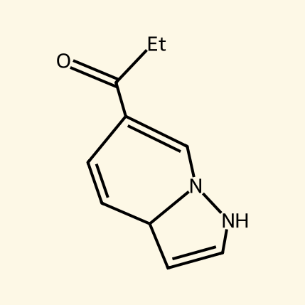 CCC(=O)C1=CN2NC=CC2C=C1